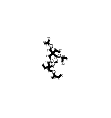 CCC(C)OCC(CC)(COC)COCC(CC)(COC(C)C)COC(C)C